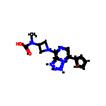 CN(C(=O)O)C1CN(c2ncc(-c3cccs3)n3nnnc23)C1